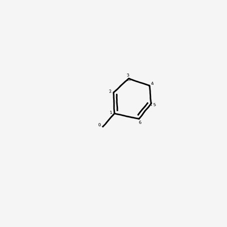 CC1=C[C]C[C]=C1